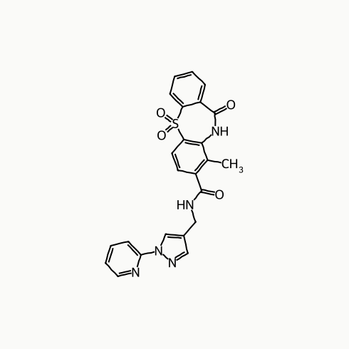 Cc1c(C(=O)NCc2cnn(-c3ccccn3)c2)ccc2c1NC(=O)c1ccccc1S2(=O)=O